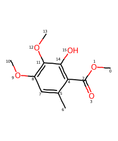 COC(=O)c1c(C)cc(OC)c(OC)c1O